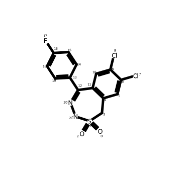 O=S1(=O)Cc2cc(Cl)c(Cl)cc2C(c2ccc(F)cc2)=N[N]1